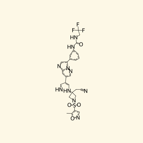 Cc1oncc1S(=O)(=O)N1CC(CC#N)(N/C=C(\C=N)c2cnn3c(-c4cccc(NC(=O)NCC(F)(F)F)c4)cnc3c2)C1